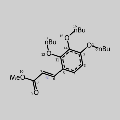 CCCCOc1ccc(/C=C/C(=O)OC)c(OCCCC)c1OCCCC